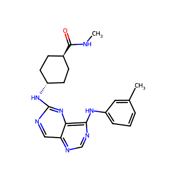 CNC(=O)[C@H]1CC[C@H](Nc2ncc3ncnc(Nc4cccc(C)c4)c3n2)CC1